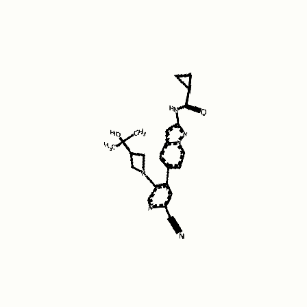 CC(C)(O)C1CN(c2cnc(C#N)cc2-c2ccn3nc(NC(=O)C4CC4)cc3c2)C1